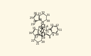 C[C]1([Zr]([Cl])([Cl])[C]2(C)C=Cc3ccccc32)C=CC2=C1CCCC2.C[C]1C=CC2=C1CCCC2